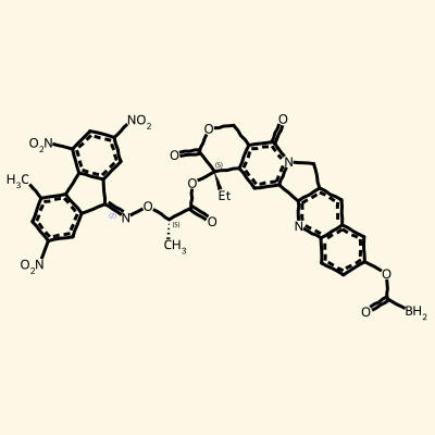 BC(=O)Oc1ccc2nc3c(cc2c1)Cn1c-3cc2c(c1=O)COC(=O)[C@@]2(CC)OC(=O)[C@H](C)O/N=C1/c2cc([N+](=O)[O-])cc(C)c2-c2c1cc([N+](=O)[O-])cc2[N+](=O)[O-]